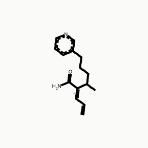 C=C/C=C(/C(N)=O)C(C)CCCc1cccnc1